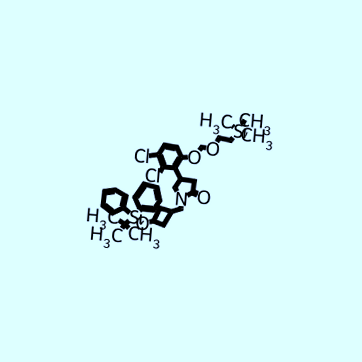 CC(C)(C)[Si](OC1CC(CN2CC(c3c(OCOCC[Si](C)(C)C)ccc(Cl)c3Cl)CC2=O)C1)(c1ccccc1)c1ccccc1